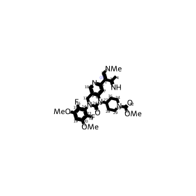 CN/C=C(\C(C)=N)c1cc2c(cn1)CN(c1c(F)c(OC)cc(OC)c1F)C(=O)N2C1CCN(C(=O)OC)CC1